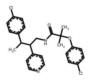 CC(c1ccc(Cl)cc1)C(CNC(=O)C(C)(C)Oc1ccc(Cl)cc1)c1ccncc1